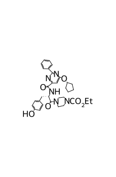 CCOC(=O)N1CCN(C(=O)[C@H](Cc2ccc(O)cc2)NC(=O)c2cc(OC3CCCC3)nc(-c3ccccc3)n2)CC1